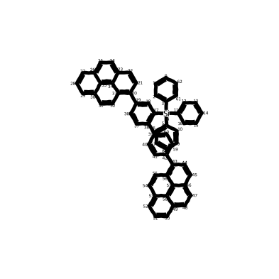 c1ccc([Si](c2ccccc2)(c2ccccc2)c2cc(-c3ccc4ccc5cccc6ccc3c4c56)ccc2-c2ccc(-c3ccc4ccc5cccc6ccc3c4c56)cc2)cc1